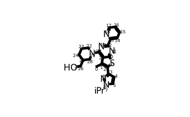 Cc1c(-c2ccn(C(C)C)n2)sc2nc(-c3ccccn3)nc(N3CCCC(CO)C3)c12